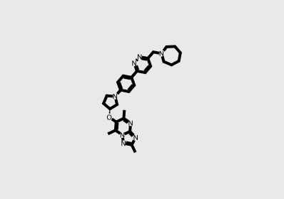 Cc1nc2nc(C)c(O[C@@H]3CCN(c4ccc(-c5ccc(CN6CCCCCC6)nn5)cc4)C3)c(C)n2n1